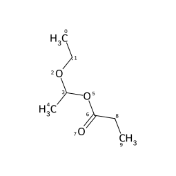 C[CH]OC(C)OC(=O)CC